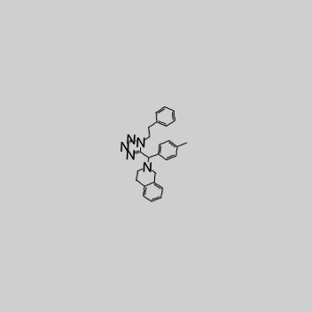 Cc1ccc(C(c2nnnn2CCc2ccccc2)N2CCc3ccccc3C2)cc1